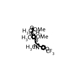 COC(=O)C(C)(C)Oc1cc(OC)c(OCc2cc(-c3ccc(OC(F)(F)F)cc3)nn2C)cc1C